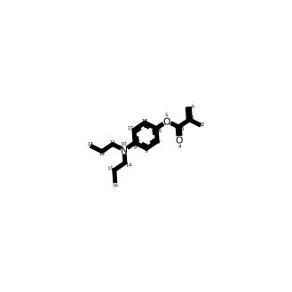 C=C(C)C(=O)Oc1ccc(N(CCC)CCC)cc1